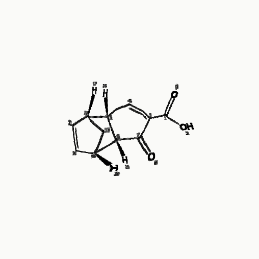 O=C(O)C1=C[C@@H]2[C@H](C1=O)[C@@H]1C=C[C@H]2C1